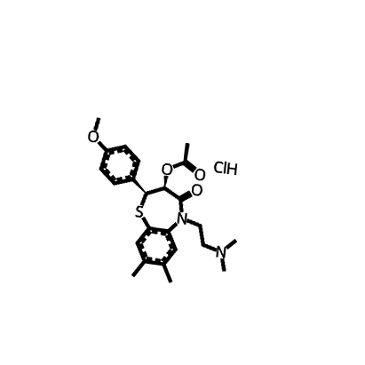 COc1ccc([C@@H]2Sc3cc(C)c(C)cc3N(CCN(C)C)C(=O)[C@@H]2OC(C)=O)cc1.Cl